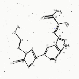 CC(C)OCCn1cc(-c2cnc3[nH]cc(/C=C(\C#N)C(N)=O)c3n2)ccc1=O